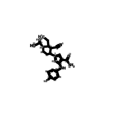 CCC1C(C#N)C(n2cc(C(N)=O)c(Nc3ccc(F)cc3)n2)CCN1C(=O)O